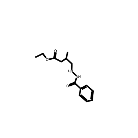 CCOC(=O)CC(C)CNNC(=O)c1ccccc1